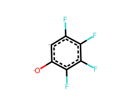 [O]c1[c]c(F)c(F)c(F)c1F